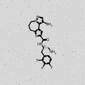 Bc1cnn2c1-c1cc(C(=O)N[C@H](CN)Cc3ccc(F)c(F)c3F)sc1CCC2